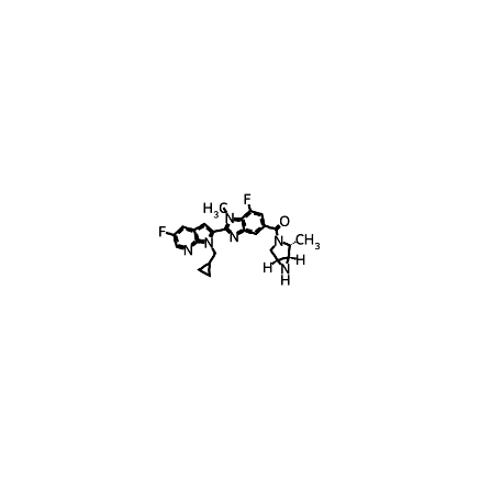 C[C@@H]1[C@@H]2N[C@@H]2CN1C(=O)c1cc(F)c2c(c1)nc(-c1cc3cc(F)cnc3n1CC1CC1)n2C